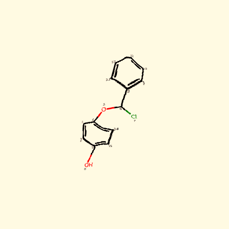 Oc1ccc(OC(Cl)c2ccccc2)cc1